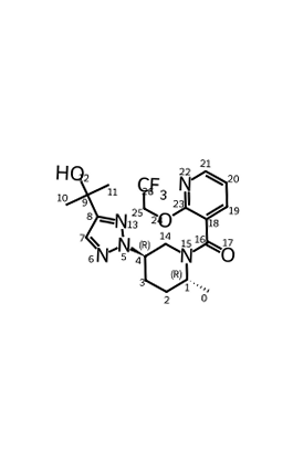 C[C@@H]1CC[C@@H](n2ncc(C(C)(C)O)n2)CN1C(=O)c1cccnc1OCC(F)(F)F